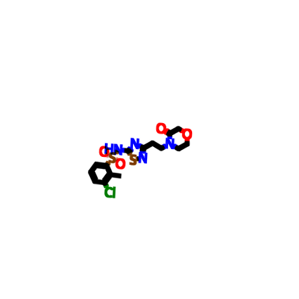 Cc1c(Cl)cccc1S(=O)(=O)Nc1nc(CCN2CCOCC2=O)ns1